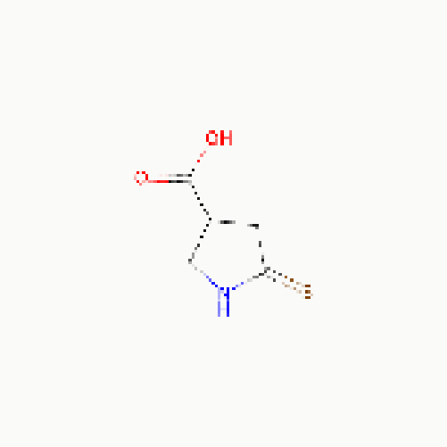 O=C(O)C1CNC(=S)C1